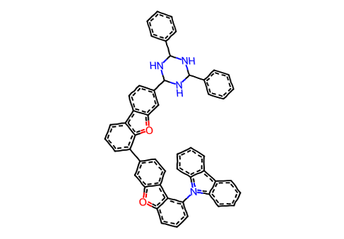 c1ccc(C2NC(c3ccccc3)NC(c3ccc4c(c3)oc3c(-c5ccc6c(c5)oc5cccc(-n7c8ccccc8c8ccccc87)c56)cccc34)N2)cc1